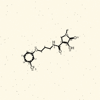 CN1CC(C(=O)NCCCOc2cccc(C(F)(F)F)c2)=C(O)C1=O